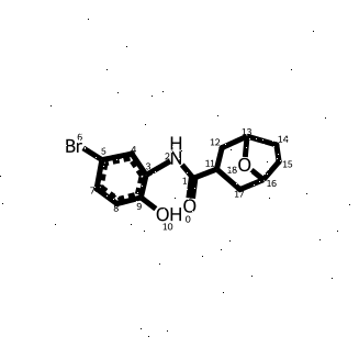 O=C(Nc1cc(Br)ccc1O)C1CC2CCC(C1)O2